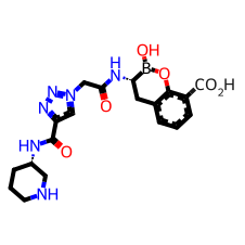 O=C(Cn1cc(C(=O)N[C@H]2CCCNC2)nn1)N[C@H]1Cc2cccc(C(=O)O)c2OB1O